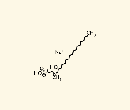 CCCCCCCCCCCCCCCCC(O)CN(C)CCOP(=O)([O-])O.[Na+]